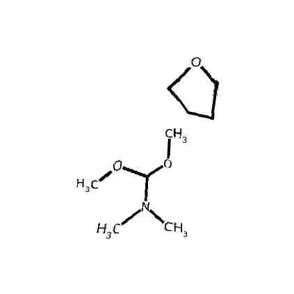 C1CCOC1.COC(OC)N(C)C